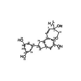 CC1(O)C=Cc2c3c(cc(O)c2OC1)C=C(c1cc(O)cc(O)c1)C3